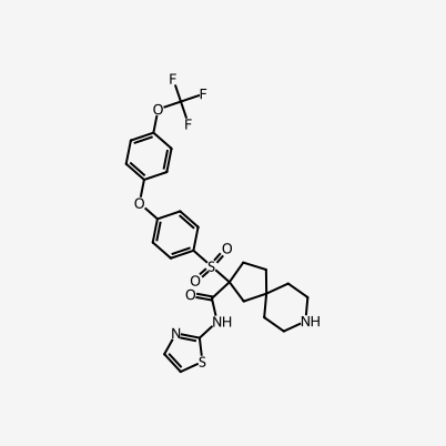 O=C(Nc1nccs1)C1(S(=O)(=O)c2ccc(Oc3ccc(OC(F)(F)F)cc3)cc2)CCC2(CCNCC2)C1